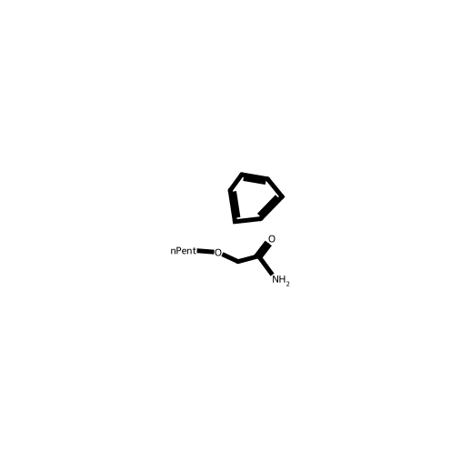 CCCCCOCC(N)=O.c1ccccc1